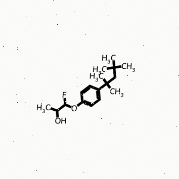 CC(O)C(F)Oc1ccc(C(C)(C)CC(C)(C)C)cc1